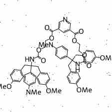 CNc1ccc(C(Cc2ccc(OC)cc2)(Cc2ccc(OC)cc2)NC(=O)OCCOC(=O)c2cncc(C(=O)OCCOC(=O)NC(Cc3ccc(OC)cc3)(Cc3ccc(OC)cc3)c3ccc(NC)cc3)c2)cc1